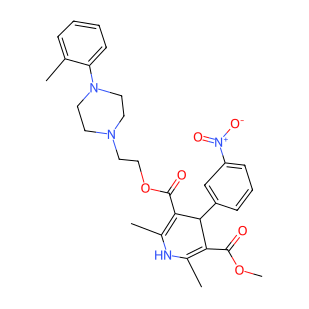 COC(=O)C1=C(C)NC(C)=C(C(=O)OCCN2CCN(c3ccccc3C)CC2)C1c1cccc([N+](=O)[O-])c1